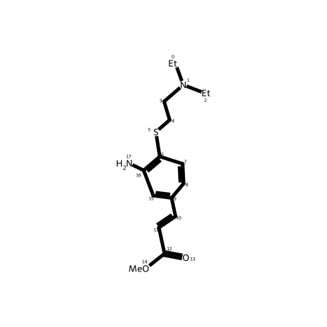 CCN(CC)CCSc1ccc(C=CC(=O)OC)cc1N